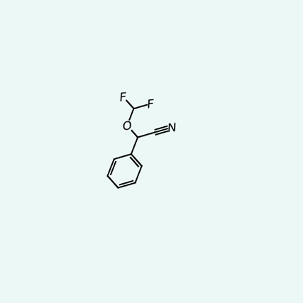 N#CC(OC(F)F)c1ccccc1